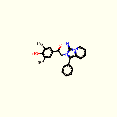 CC(C)(C)c1cc(C(=O)Cn2c(-c3ccccc3)c3ccccn3c2=N)cc(C(C)(C)C)c1O